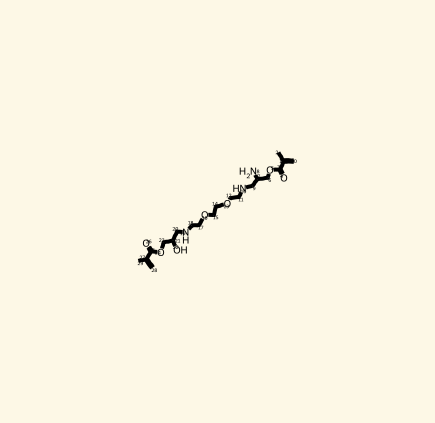 C=C(C)C(=O)OCC(N)CNCCOCCOCCNCC(O)COC(=O)C(=C)C